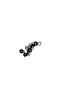 O=C1[C@@H](NS(=O)(=O)c2cc3cc(Cl)ccc3s2)CCCN1CC(=O)N1CCC[C@H]1CN1CC=CCC1